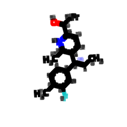 C/C=C(/c1ccc(C)c(F)c1)c1ccc(C(=O)C(C)C)nc1C